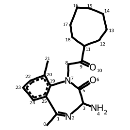 CC1=NC(N)C(=O)N(CC(=O)C2CCCCCCC2)c2c(C)cccc21